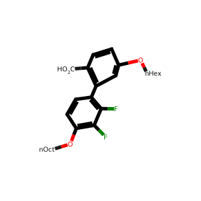 CCCCCCCCOc1ccc(-c2cc(OCCCCCC)ccc2C(=O)O)c(F)c1F